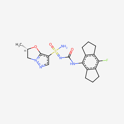 C[C@H]1Cn2ncc(S(N)(=O)=NC(=O)Nc3c4c(c(F)c5c3CCC5)CCC4)c2O1